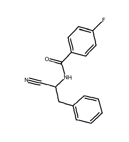 N#CC(Cc1ccccc1)NC(=O)c1ccc(F)cc1